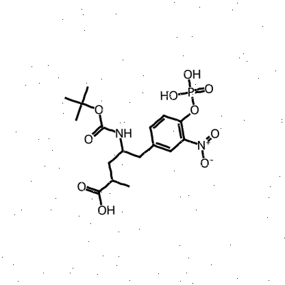 CC(CC(Cc1ccc(OP(=O)(O)O)c([N+](=O)[O-])c1)NC(=O)OC(C)(C)C)C(=O)O